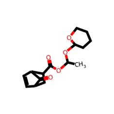 CC(OC(=O)C1CC2C=CC1C2=O)OC1CCCCO1